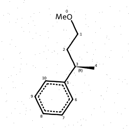 COCC[C@@H](C)c1ccccc1